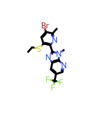 CCSc1cc(Br)c(C)nc1-c1nc2cc(C(F)(F)F)cnc2n1C